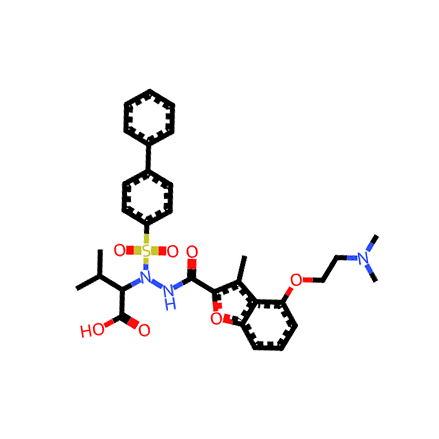 Cc1c(C(=O)NN(C(C(=O)O)C(C)C)S(=O)(=O)c2ccc(-c3ccccc3)cc2)oc2cccc(OCCN(C)C)c12